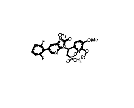 CCOc1nc(C(CS(C)(=O)=O)n2c(=O)n(C)c3cc(-c4c(F)cccc4F)cnc32)ccc1OC